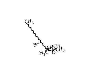 C=C(C)C(=O)OC[N+](C)(C)CCCCCCCCCCCCCCCCCC.[Br-]